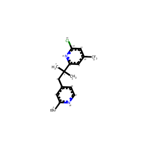 CC(C)(C)c1cc(CC(C)(C)c2cc(C(F)(F)F)cc(Cl)n2)ccn1